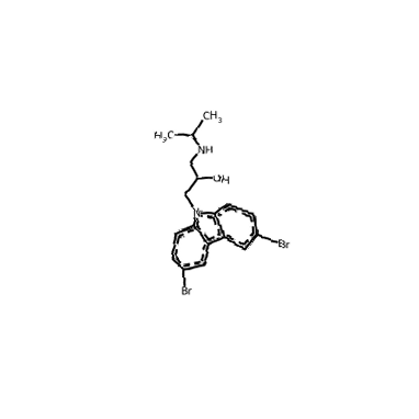 CC(C)NCC(O)Cn1c2ccc(Br)cc2c2cc(Br)ccc21